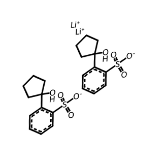 O=S(=O)([O-])c1ccccc1C1(O)CCCC1.O=S(=O)([O-])c1ccccc1C1(O)CCCC1.[Li+].[Li+]